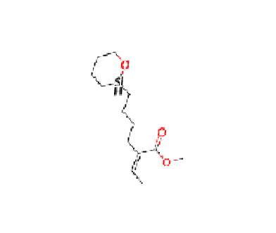 CC=C(CCCC[SiH]1CCCCO1)C(=O)OC